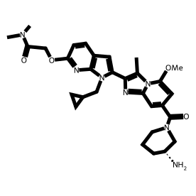 COc1cc(C(=O)N2CCC[C@@H](N)C2)cc2nc(-c3cc4ccc(OCC(=O)N(C)C)nc4n3CC3CC3)c(C)n12